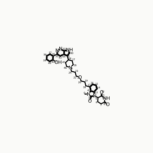 Cn1c(=O)n(C2CCC(=O)NC2=O)c2cccc(CCCOCCCN3CCC(c4c[nH]c5nnc(-c6ccccc6O)cc45)CC3)c21